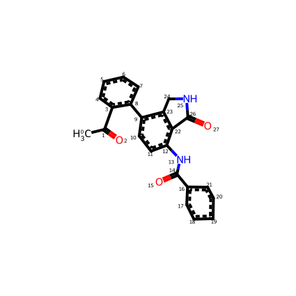 CC(=O)c1ccccc1-c1ccc(NC(=O)c2ccccc2)c2c1CNC2=O